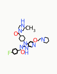 C[C@H]1CN(C(=O)C2CCC(n3/c(=N/C(=O)c4ccc(F)cc4)[nH]c4cnc(OCCN5CCCCC5)cc43)CC2)CCN1